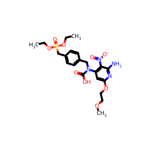 CCOP(=O)(Cc1ccc(CN(C(=O)O)c2cc(OCCOC)nc(N)c2[N+](=O)[O-])cc1)OCC